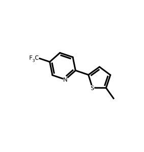 Cc1ccc(-c2ccc(C(F)(F)F)cn2)s1